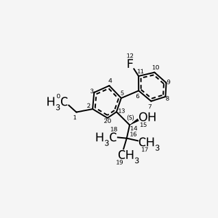 CCc1ccc(-c2ccccc2F)c([C@@H](O)C(C)(C)C)c1